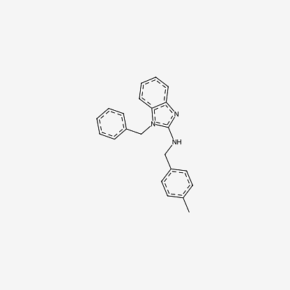 Cc1ccc(CNc2nc3ccccc3n2Cc2ccccc2)cc1